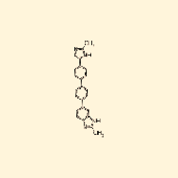 Cc1ncc(-c2ccc(-c3ccc(-c4ccc5nc(C)[nH]c5c4)cc3)cc2)[nH]1